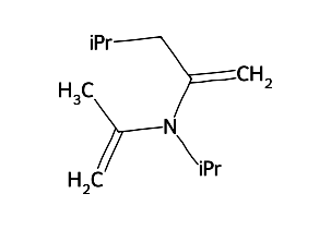 C=C(C)N(C(=C)CC(C)C)C(C)C